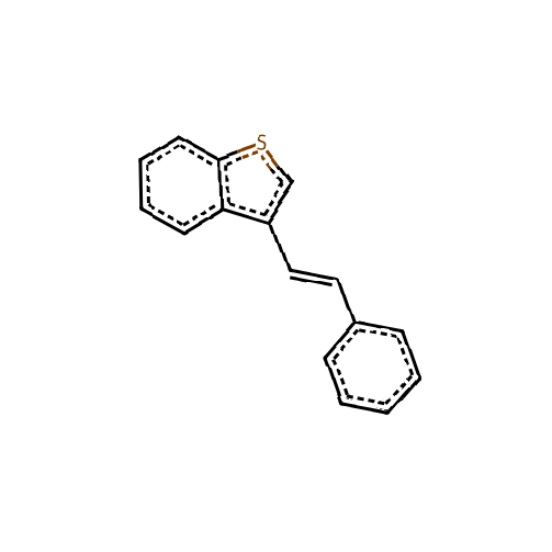 C(=Cc1csc2ccccc12)c1ccccc1